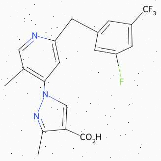 Cc1cnc(Cc2cc(F)cc(C(F)(F)F)c2)cc1-n1cc(C(=O)O)c(C)n1